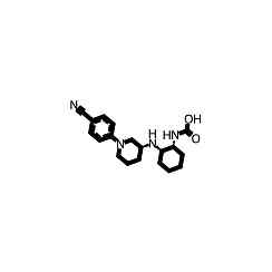 N#Cc1ccc(N2CCC[C@H](N[C@@H]3CCCC[C@H]3NC(=O)O)C2)cc1